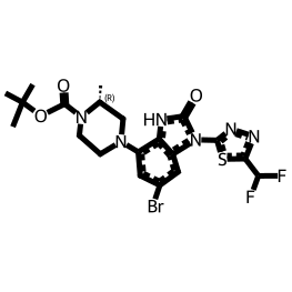 C[C@@H]1CN(c2cc(Br)cc3c2[nH]c(=O)n3-c2nnc(C(F)F)s2)CCN1C(=O)OC(C)(C)C